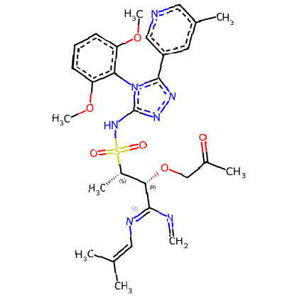 C=N/C(=N\C=C(C)C)[C@@H](OCC(C)=O)[C@H](C)S(=O)(=O)Nc1nnc(-c2cncc(C)c2)n1-c1c(OC)cccc1OC